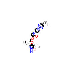 CC(CO[C@H]1CCN(C2CCN(c3ncc(C(F)(F)F)cn3)CC2)C1=O)Oc1cn[nH]c(=O)c1C(F)(F)F